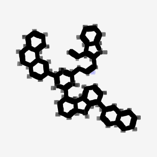 C=Cc1c(/C=C\Cc2nc(C3=CC4c5ccccc5C=CC4C=C3)nc(-c3cccc4oc5c(-c6ccc7ccccc7c6)cccc5c34)n2)sc2ccccc12